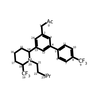 CC(=O)Cc1cc(-c2ccc(C(F)(F)F)cc2)cc(C2CCCC(C(F)(F)F)N2CCC(C)C)c1